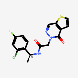 C[C@H](NC(=O)Cn1ncc2sccc2c1=O)c1ccc(F)cc1Cl